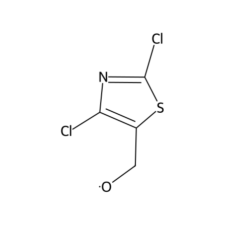 [O]Cc1sc(Cl)nc1Cl